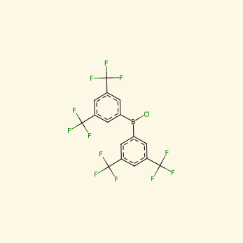 FC(F)(F)c1cc(B(Cl)c2cc(C(F)(F)F)cc(C(F)(F)F)c2)cc(C(F)(F)F)c1